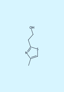 Cc1csc(CCO)n1